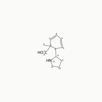 CC1(C(=O)O)C=CC=CC1C1CCCN1